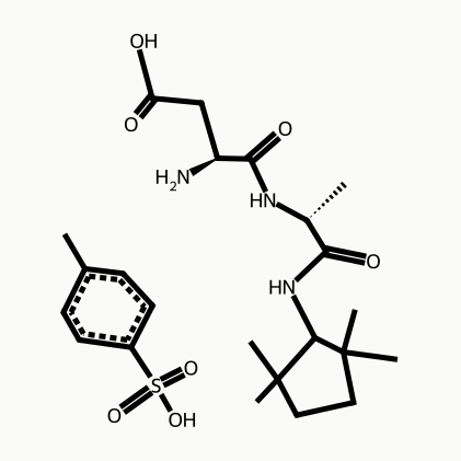 C[C@@H](NC(=O)[C@@H](N)CC(=O)O)C(=O)NC1C(C)(C)CCC1(C)C.Cc1ccc(S(=O)(=O)O)cc1